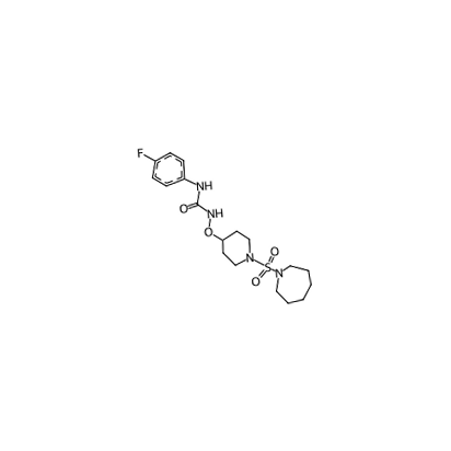 O=C(NOC1CCN(S(=O)(=O)N2CCCCCC2)CC1)Nc1ccc(F)cc1